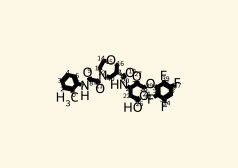 Cc1ccccc1NC(=O)C(=O)N1CCOC[C@H](C(=O)NC(CC(=O)O)C(=O)COc2c(F)c(F)cc(F)c2F)C1